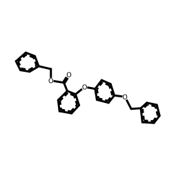 O=C(OCc1ccccc1)c1ccccc1Oc1ccc(OCc2ccccc2)cc1